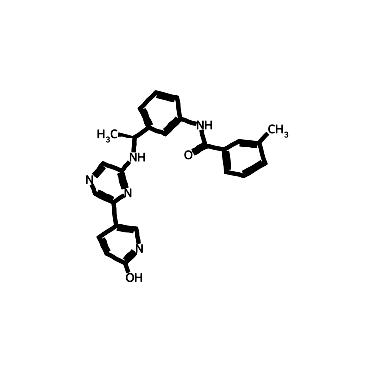 Cc1cccc(C(=O)Nc2cccc([C@H](C)Nc3cncc(-c4ccc(O)nc4)n3)c2)c1